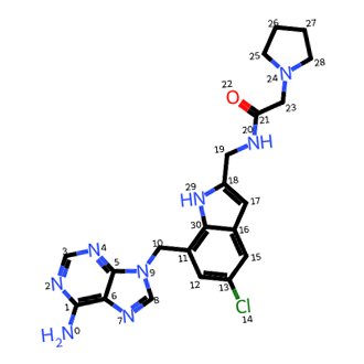 Nc1ncnc2c1ncn2Cc1cc(Cl)cc2cc(CNC(=O)CN3CCCC3)[nH]c12